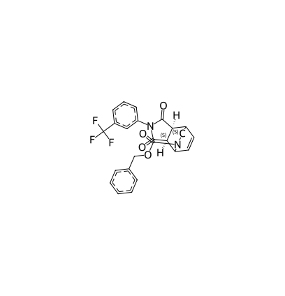 O=C1[C@@H]2C3C=CC(CN3C(=O)OCc3ccccc3)[C@@H]2C(=O)N1c1cccc(C(F)(F)F)c1